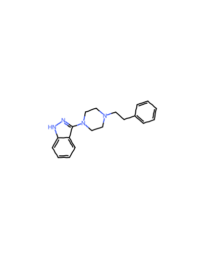 c1ccc(CCN2CCN(c3n[nH]c4ccccc34)CC2)cc1